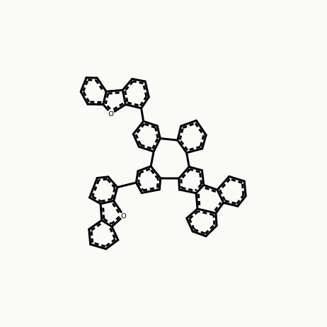 c1ccc2c(c1)-c1cc(-c3cccc4c3oc3ccccc34)ccc1-c1cc(-c3cccc4c3oc3ccccc34)ccc1-c1cc3c4ccccc4c4ccccc4c3cc1-2